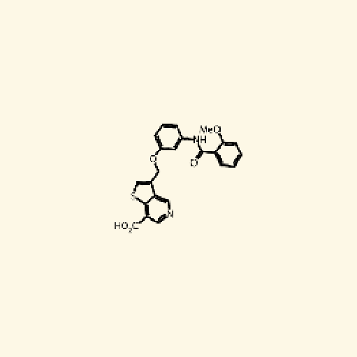 COc1ccccc1C(=O)Nc1cccc(OCc2csc3c(C(=O)O)cncc23)c1